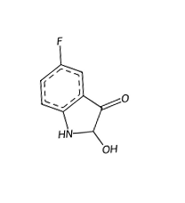 O=C1c2cc(F)ccc2NC1O